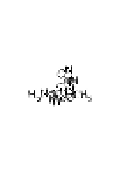 C=C(NCc1nc2cnc3ccccc3c2n1[C@H]1CC[C@H](NCCN)CC1)OC